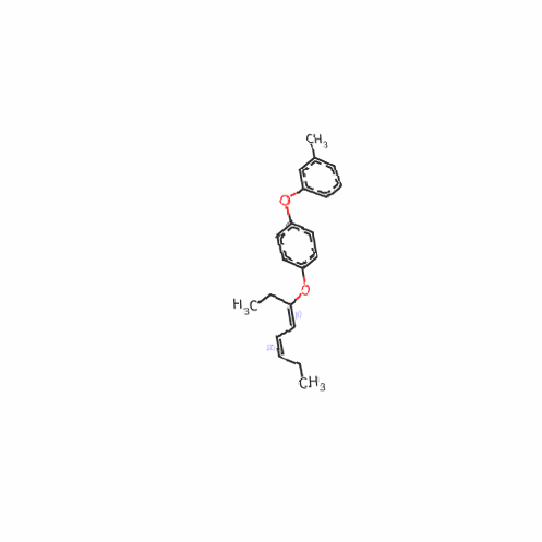 CC/C=C\C=C(/CC)Oc1ccc(Oc2cccc(C)c2)cc1